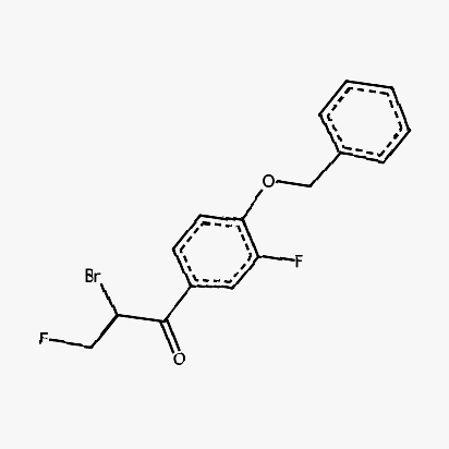 O=C(c1ccc(OCc2ccccc2)c(F)c1)C(Br)CF